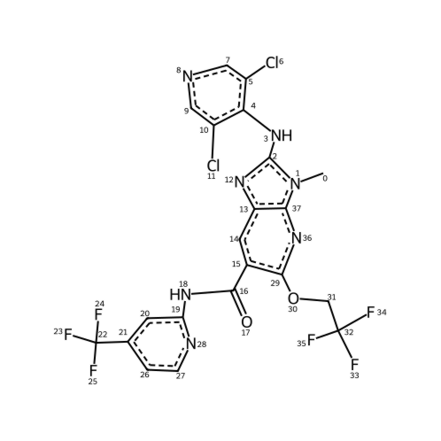 Cn1c(Nc2c(Cl)cncc2Cl)nc2cc(C(=O)Nc3cc(C(F)(F)F)ccn3)c(OCC(F)(F)F)nc21